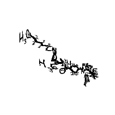 CCCCCCO/N=B/C(C)NC(=O)c1ccc(-c2noc(C(F)(F)F)n2)cc1